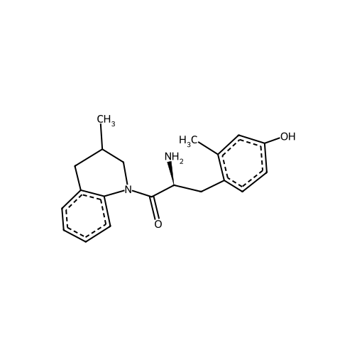 Cc1cc(O)ccc1C[C@H](N)C(=O)N1CC(C)Cc2ccccc21